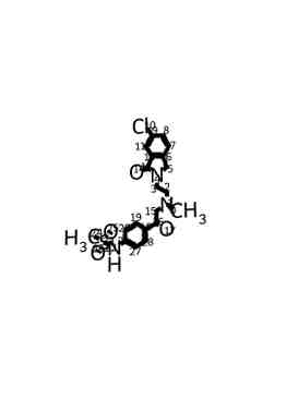 CN(CCN1Cc2ccc(Cl)cc2C1=O)CC(=O)c1ccc(NS(C)(=O)=O)cc1